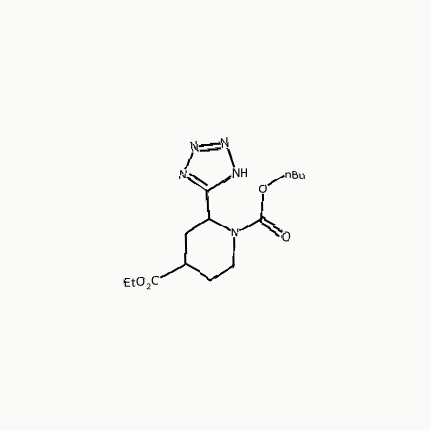 CCCCOC(=O)N1CCC(C(=O)OCC)CC1c1nnn[nH]1